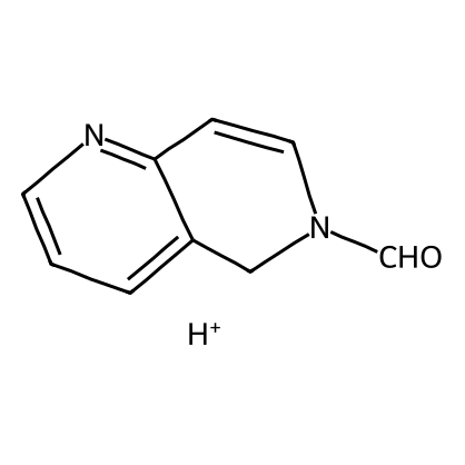 O=CN1C=Cc2ncccc2C1.[H+]